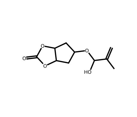 C=C(C)C(O)OC1CC2OC(=O)OC2C1